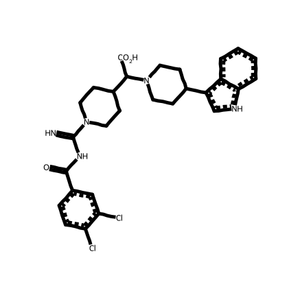 N=C(NC(=O)c1ccc(Cl)c(Cl)c1)N1CCC(C(C(=O)O)N2CCC(c3c[nH]c4ccccc34)CC2)CC1